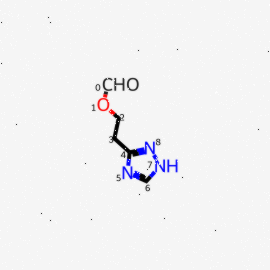 O=COCCc1nc[nH]n1